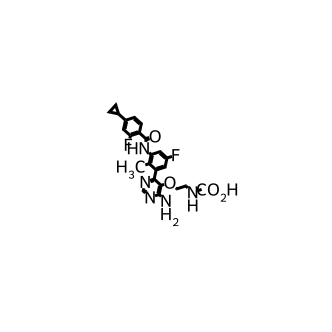 Cc1c(NC(=O)c2ccc(C3CC3)cc2F)cc(F)cc1-c1ncnc(N)c1OCCNC(=O)O